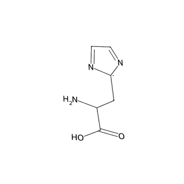 NC(C[C]1N=CC=N1)C(=O)O